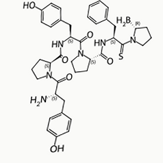 B[C@@H]1CCCN1C(=S)[C@H](Cc1ccccc1)NC(=O)[C@@H]1CCCN1C(=O)[C@H](Cc1ccc(O)cc1)NC(=O)[C@@H]1CCCN1C(=O)[C@@H](N)Cc1ccc(O)cc1